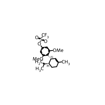 C=C(C)[C@@H]1CCC(C)=C[C@H]1c1c(OC)cc(OS(=O)(=O)C(F)(F)F)cc1OC